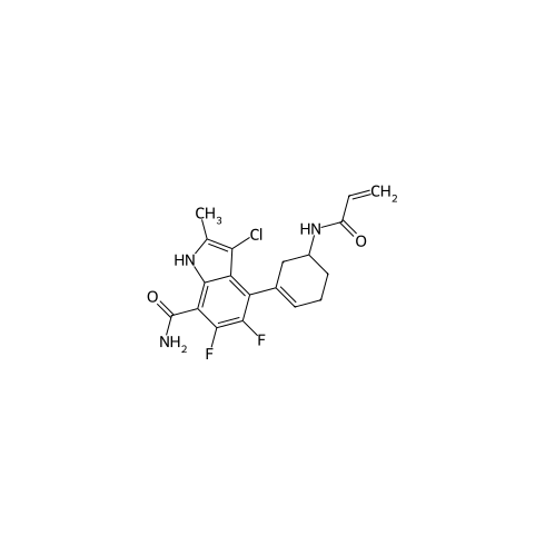 C=CC(=O)NC1CCC=C(c2c(F)c(F)c(C(N)=O)c3[nH]c(C)c(Cl)c23)C1